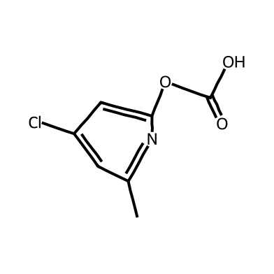 Cc1cc(Cl)cc(OC(=O)O)n1